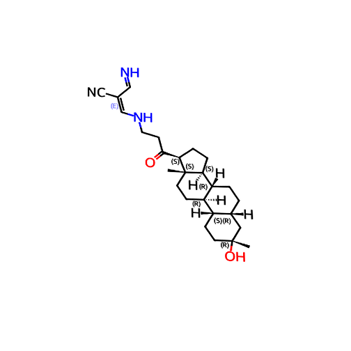 C[C@@]1(O)CC[C@H]2[C@H](CC[C@@H]3[C@@H]2CC[C@]2(C)[C@@H](C(=O)CCN/C=C(/C#N)C=N)CC[C@@H]32)C1